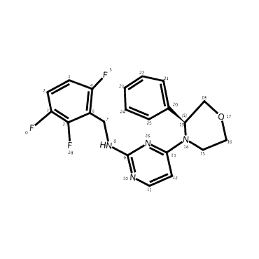 Fc1ccc(F)c(CNc2nccc(N3CCOC[C@@H]3c3ccccc3)n2)c1F